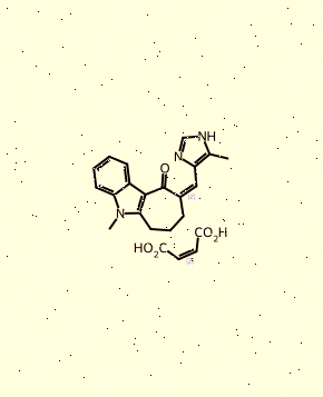 Cc1[nH]cnc1/C=C1/CCCc2c(c3ccccc3n2C)C1=O.O=C(O)/C=C\C(=O)O